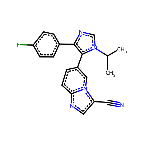 CC(C)n1cnc(-c2ccc(F)cc2)c1-c1ccc2ncc(C#N)n2c1